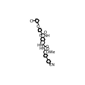 COC(=O)C(Cc1ccc(-c2ccc(C#N)cc2)cc1)NC(=O)C1Cc2cc3c(cc2CN1)OC(c1ccc(OCc2cccc(Cl)c2)cc1)C(=O)N3